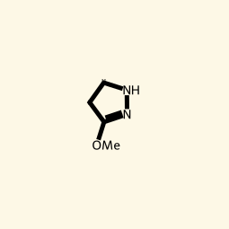 COC1=NN[C]C1